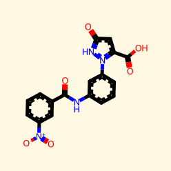 O=C(Nc1cccc(-n2[nH]c(=O)cc2C(=O)O)c1)c1cccc([N+](=O)[O-])c1